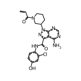 C=CC(=O)N1CCCC(n2nc(C(=O)Nc3ccc(O)cc3Cl)c3c(N)ncnc32)C1